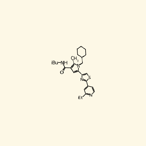 CCc1cc(-c2nc(-c3cc(C(=O)NC(C)CC)c(C)n3CC3CCCCC3)cs2)ccn1